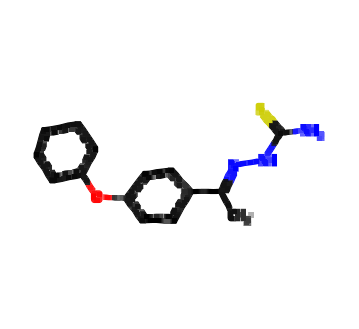 [CH2]C(=NNC(N)=S)c1ccc(Oc2ccccc2)cc1